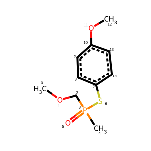 COCP(C)(=O)Sc1ccc(OC)cc1